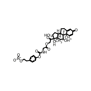 C[C@]12C=CC(=O)C=C1CC[C@H]1[C@@H]3C[C@@H](O)[C@](O)(C(=O)COC(=O)CNC(=O)Oc4ccc(CCO[N+](=O)[O-])cc4)[C@@]3(C)C[C@H](O)[C@@]12F